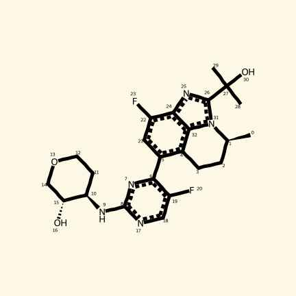 C[C@H]1CCc2c(-c3nc(N[C@@H]4CCOC[C@H]4O)ncc3F)cc(F)c3nc(C(C)(C)O)n1c23